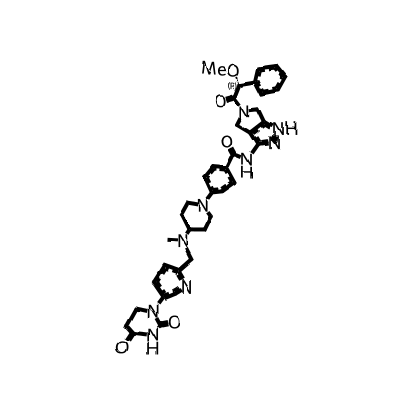 CO[C@@H](C(=O)N1Cc2[nH]nc(NC(=O)c3ccc(N4CCC(N(C)Cc5ccc(N6CCC(=O)NC6=O)cn5)CC4)cc3)c2C1)c1ccccc1